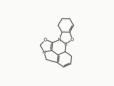 C1=CC2=C3C4=C(OCN4C2)N2B(OC4=CCCCC42)C3C1